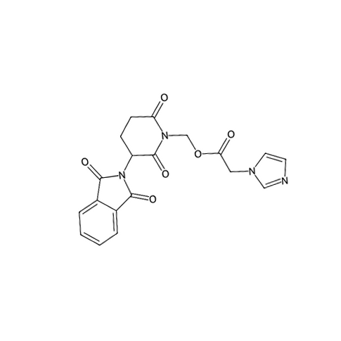 O=C(Cn1ccnc1)OCN1C(=O)CCC(N2C(=O)c3ccccc3C2=O)C1=O